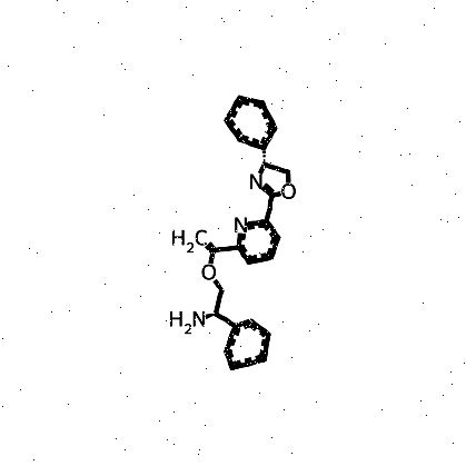 C=C(OC[C@H](N)c1ccccc1)c1cccc(C2=N[C@H](c3ccccc3)CO2)n1